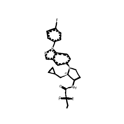 CC(F)(F)C(=O)NC1CCN(c2ccc3c(cnn3-c3ccc(F)cc3)c2)[C@@H]1CC1CC1